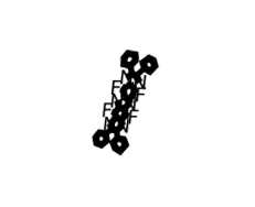 Fc1c2nc(-c3ccccc3)c(-c3ccccc3)nc2c(F)c2nc3c(F)c4nc(-c5ccccc5)c(-c5ccccc5)nc4c(F)c3nc12